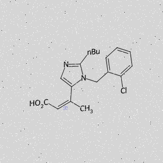 CCCCc1ncc(/C(C)=C\C(=O)O)n1Cc1ccccc1Cl